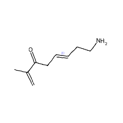 C=C(C)C(=O)C/C=C/CCN